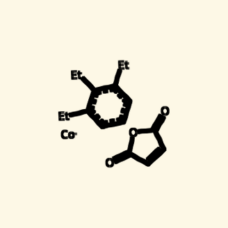 CCc1cccc(CC)c1CC.O=C1C=CC(=O)O1.[Co]